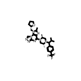 Cc1nc2c(N3C[C@@H](C)N(C(c4ccc(C(F)(F)F)cc4)C(C)C)C[C@@H]3C)nc3nncn3c2n1C[C@@H]1CCCO1